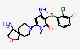 Cn1c(N2CCC3(CC2)COC[C@H]3N)cc(N)c(Sc2cccc(Cl)c2Cl)c1=O